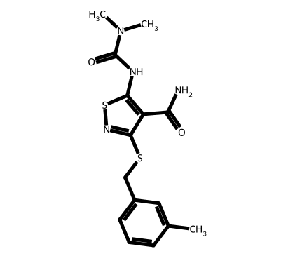 Cc1cccc(CSc2nsc(NC(=O)N(C)C)c2C(N)=O)c1